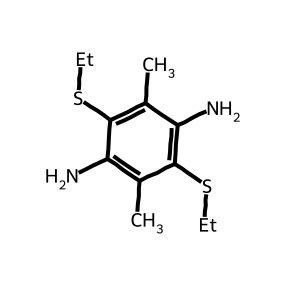 CCSc1c(C)c(N)c(SCC)c(C)c1N